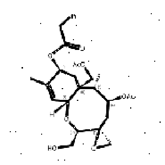 CC(=O)OC[C@]12C[C@H](OC(=O)CC(C)C)C(C)=C[C@H]1O[C@H](CO)[C@@]1(CO1)C[C@H](OC(C)=O)[C@H]2C